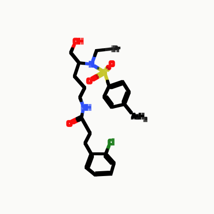 CC(C)CN(C(CO)CCCNC(=O)CCc1ccccc1Cl)S(=O)(=O)c1ccc([AsH2])cc1